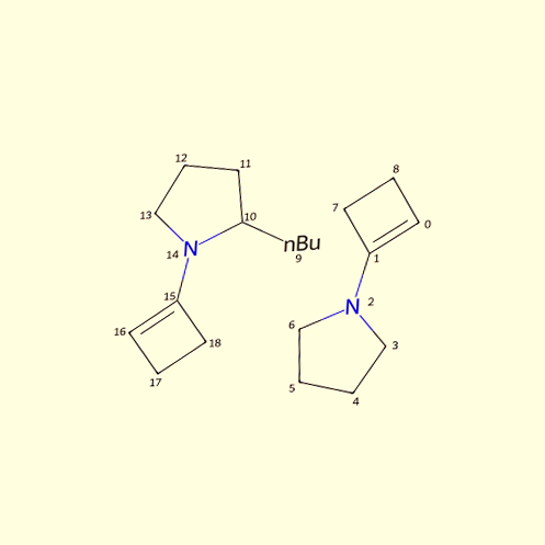 C1=C(N2CCCC2)CC1.CCCCC1CCCN1C1=CCC1